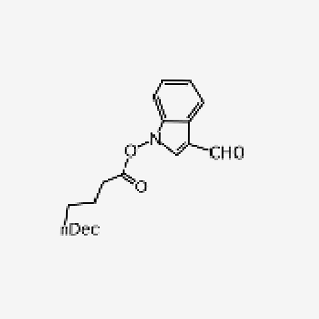 CCCCCCCCCCCCCC(=O)On1cc(C=O)c2ccccc21